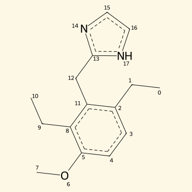 CCc1ccc(OC)c(CC)c1Cc1ncc[nH]1